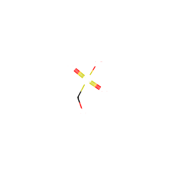 [O]CS(=O)(=O)O